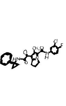 Cc1c(C(=O)C(=O)NC2(c3ccccc3)CC2)c2n(c1C(=O)Nc1ccc(F)c(Cl)c1)CCC2